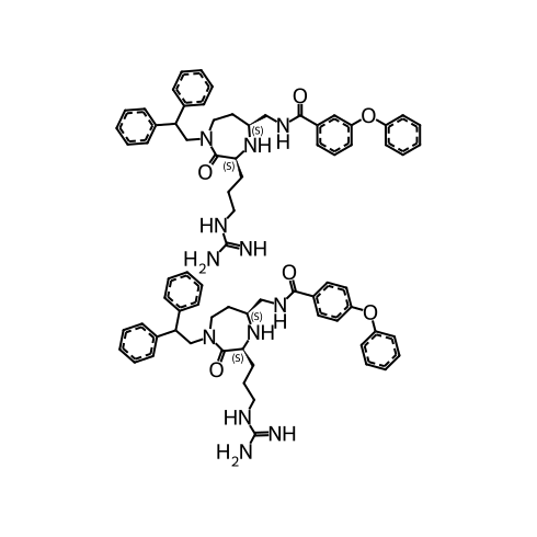 N=C(N)NCCC[C@@H]1N[C@H](CNC(=O)c2ccc(Oc3ccccc3)cc2)CCN(CC(c2ccccc2)c2ccccc2)C1=O.N=C(N)NCCC[C@@H]1N[C@H](CNC(=O)c2cccc(Oc3ccccc3)c2)CCN(CC(c2ccccc2)c2ccccc2)C1=O